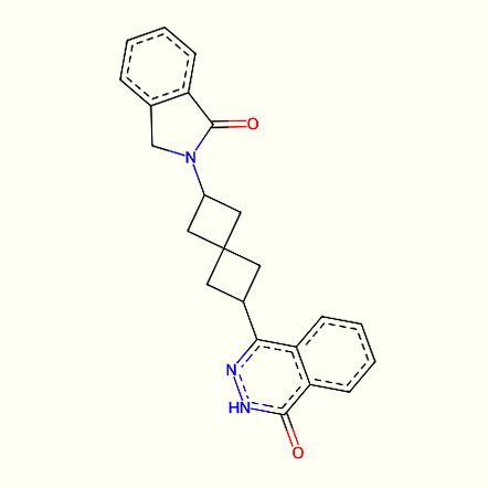 O=C1c2ccccc2CN1C1CC2(CC(c3n[nH]c(=O)c4ccccc34)C2)C1